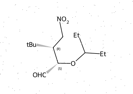 CCC(CC)O[C@H](C=O)[C@@H](C[N+](=O)[O-])C(C)(C)C